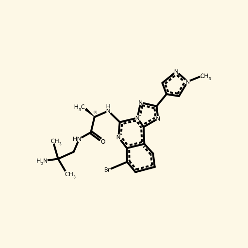 C[C@@H](Nc1nc2c(Br)cccc2c2nc(-c3cnn(C)c3)nn12)C(=O)NCC(C)(C)N